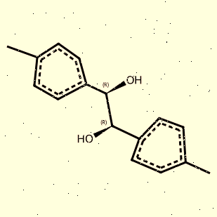 Cc1ccc([C@@H](O)[C@H](O)c2ccc(C)cc2)cc1